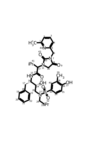 Cc1cccc(CN2C(=O)CN(C(C(=O)N[C@@H](Cc3ccccc3)[C@H](O)CN(CC(C)C)S(=O)(=O)c3ccc(O)c(C)c3)C(C)C)C2=O)n1